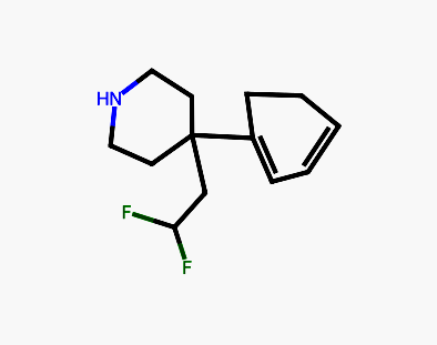 FC(F)CC1(C2=CC=CCC2)CCNCC1